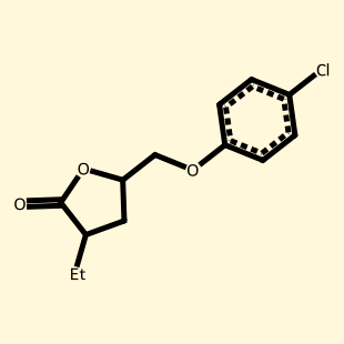 CCC1CC(COc2ccc(Cl)cc2)OC1=O